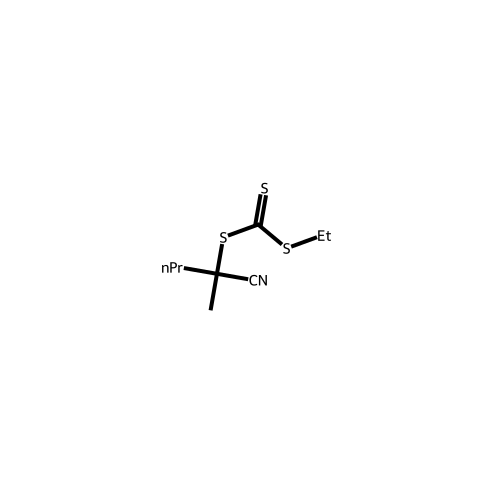 CCCC(C)(C#N)SC(=S)SCC